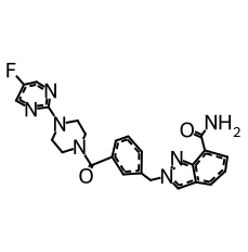 NC(=O)c1cccc2cn(Cc3cccc(C(=O)N4CCN(c5ncc(F)cn5)CC4)c3)nc12